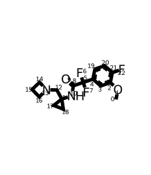 COc1cc(C(F)(F)C(=O)NC2(CN3CCC3)CC2)ccc1F